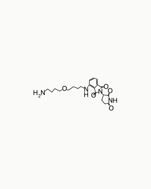 NCCCCOCCCCNc1cccc2c1C(=O)N(C1CCC(=O)NC1=O)C2=O